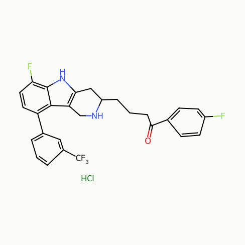 Cl.O=C(CCCC1Cc2[nH]c3c(F)ccc(-c4cccc(C(F)(F)F)c4)c3c2CN1)c1ccc(F)cc1